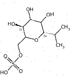 CC(C)[C@@H]1OC(COS(=O)(=O)O)[C@@H](O)C(O)C1O